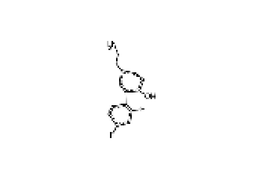 NCCc1ccc(O)c(-c2ccc(F)cc2F)c1